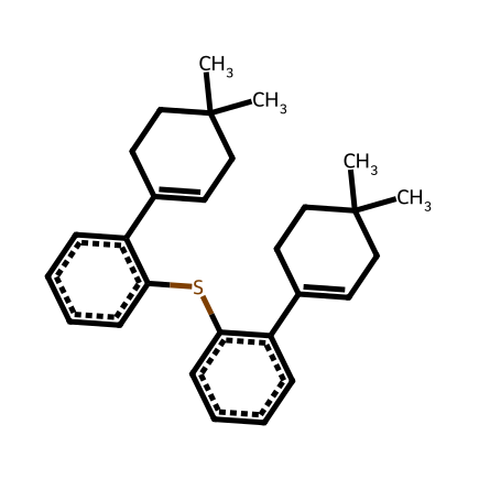 CC1(C)CC=C(c2ccccc2Sc2ccccc2C2=CCC(C)(C)CC2)CC1